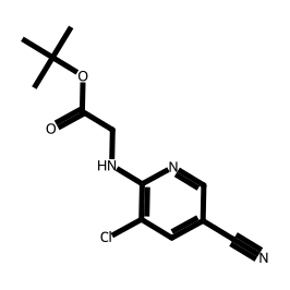 CC(C)(C)OC(=O)CNc1ncc(C#N)cc1Cl